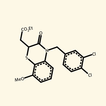 CCOC(=O)CC1Sc2c(OC)cccc2N(Cc2ccc(Cl)c(Cl)c2)C1=O